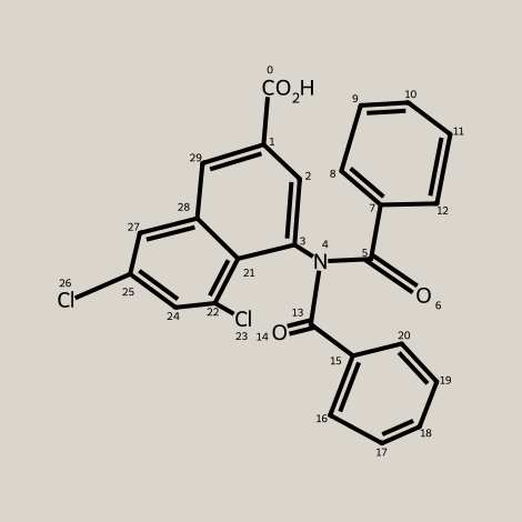 O=C(O)c1cc(N(C(=O)c2ccccc2)C(=O)c2ccccc2)c2c(Cl)cc(Cl)cc2c1